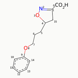 O=C(O)C1=NOC(CCCOc2ccccc2)C1